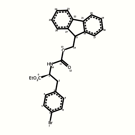 CCOC(=O)[C@H](Cc1ccc(Br)cc1)NC(=O)OCC1c2ccccc2-c2ccccc21